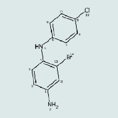 Nc1ccc(Nc2ccc(Cl)cc2)c(Br)c1